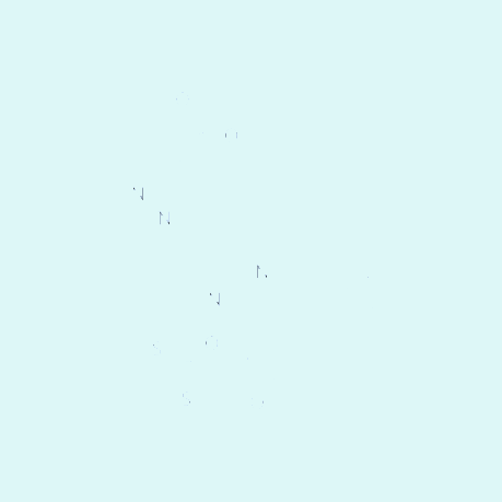 COC(=O)c1cnn(Cc2cn3cc(C4CC4)cc(C4(OC(=S)SC)COC4)c3n2)c1